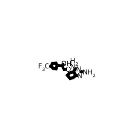 Nc1nc(N)c2c(OCC(O)c3ccc(C(F)(F)F)cc3)cccc2n1